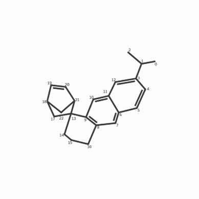 CC(C)c1ccc2cc3c(cc2c1)C1(CCC3)CC2C=CC1C2